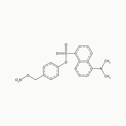 CN(C)c1cccc2c(S(=O)(=O)Oc3ccc(CO[N+](=O)[O-])cc3)cccc12